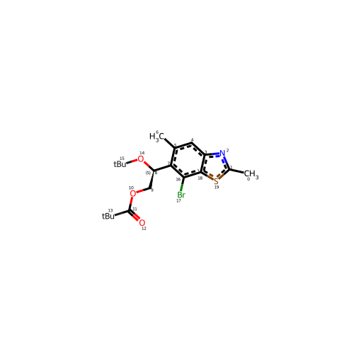 Cc1nc2cc(C)c([C@@H](COC(=O)C(C)(C)C)OC(C)(C)C)c(Br)c2s1